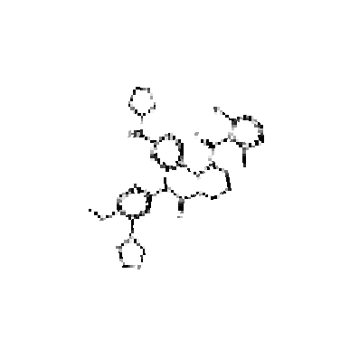 CCc1ccc(NC(=O)C2CCCN(C(=O)c3c(C)cccc3F)C2c2ccc(NC3CCOC3)cc2)cc1N1CCCC1